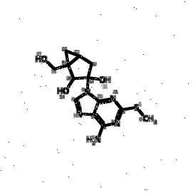 CSc1nc(N)c2ncn(C3(O)CC4CC4(CO)C3O)c2n1